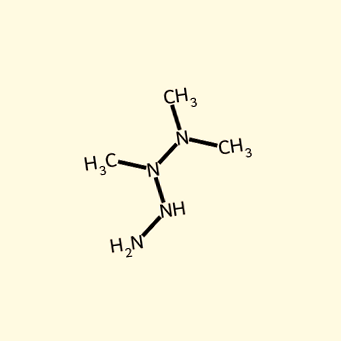 CN(C)N(C)NN